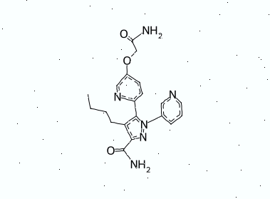 CCCCc1c(C(N)=O)nn(-c2cccnc2)c1-c1ccc(OCC(N)=O)cn1